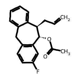 C=CC[C@@H]1c2ccccc2Cc2ccc(F)cc2[C@H]1OC(C)=O